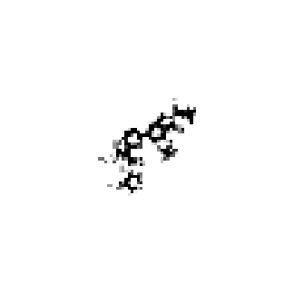 CC(C1CC1)N1Cc2cc(-c3ccn4nc(N)c(C(=O)N[C@@H]5COC[C@H]5O)c4n3)cc(OC(F)(F)F)c2C1=O